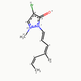 C\C=C/C(=C\C=C\n1c(=O)c(Br)cn1C)CC